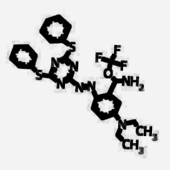 CCN(CC)c1ccc(N=Nc2nc(Sc3ccccc3)nc(Sc3ccccc3)n2)c(C(N)OC(F)(F)F)c1